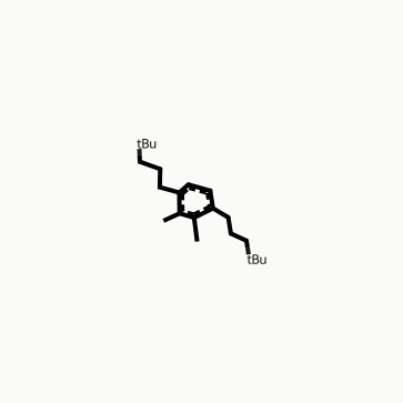 Cc1c(CCCC(C)(C)C)ccc(CCCC(C)(C)C)c1C